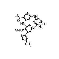 C#C/C=C(\N=C(/C)C#N)Nc1cc(Nc2nccc(-c3ncn(C)n3)c2OC)c(C(=O)CC)cn1